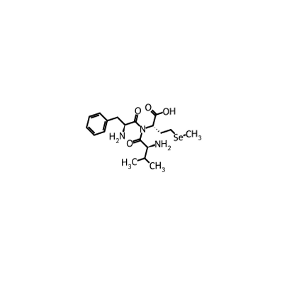 C[Se]CC[C@@H](C(=O)O)N(C(=O)[C@@H](N)C(C)C)C(=O)[C@@H](N)Cc1ccccc1